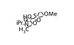 COc1ccc(Sc2c(O)c3c(=O)n(CC(C)C)c(C)cc3oc2=O)cc1